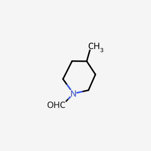 CC1CCN(C=O)CC1